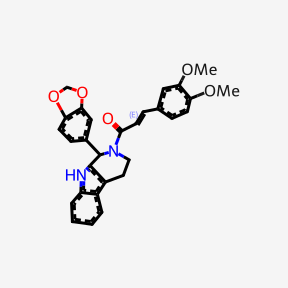 COc1ccc(/C=C/C(=O)N2CCc3c([nH]c4ccccc34)C2c2ccc3c(c2)OCO3)cc1OC